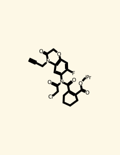 C#CCN1C(=O)COc2cc(F)c(N(C(=O)CCl)C(=O)C3=C(C(=O)OC(C)C)CCCC3)cc21